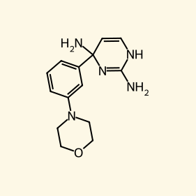 NC1=NC(N)(c2cccc(N3CCOCC3)c2)C=CN1